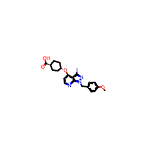 COc1ccc(Cn2nc(I)c3c(O[C@H]4CC[C@H](C(=O)O)CC4)ccnc32)cc1